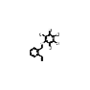 C=Cc1ccccc1COc1c(Cl)c(Cl)c(Cl)c(Cl)c1Cl